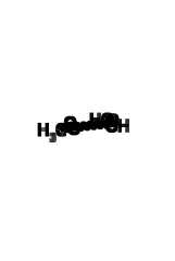 CC=CC(=O)OCCCCCCCCCCP(=O)(O)O